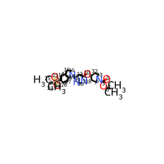 CC(C)OC(=O)N1CCC(Oc2cc(N3CCc4cc(S(=O)(=O)C(C)C)ccc43)ncn2)CC1